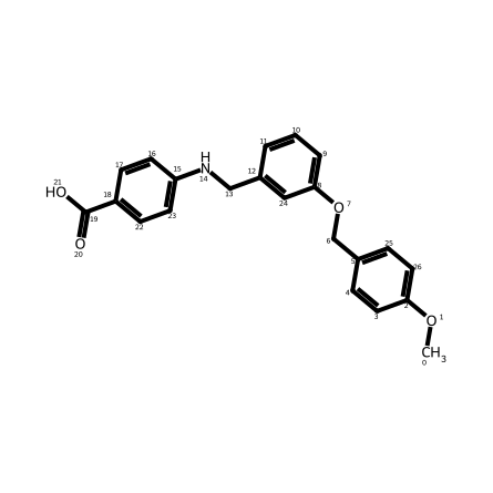 COc1ccc(COc2cccc(CNc3ccc(C(=O)O)cc3)c2)cc1